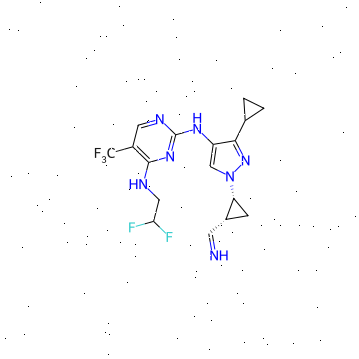 N=C[C@H]1C[C@H]1n1cc(Nc2ncc(C(F)(F)F)c(NCC(F)F)n2)c(C2CC2)n1